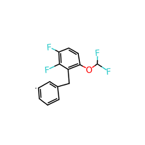 Fc1ccc(OC(F)F)c(Cc2c[c]ccc2)c1F